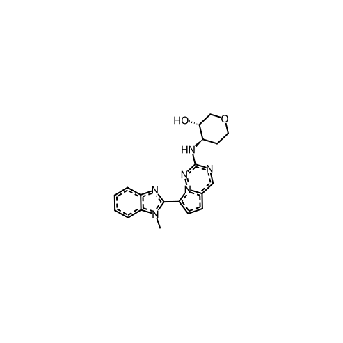 Cn1c(-c2ccc3cnc(N[C@@H]4CCOC[C@H]4O)nn23)nc2ccccc21